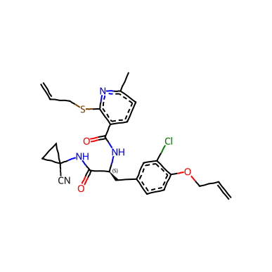 C=CCOc1ccc(C[C@H](NC(=O)c2ccc(C)nc2SCC=C)C(=O)NC2(C#N)CC2)cc1Cl